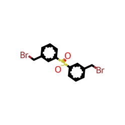 O=S(=O)(c1cccc(CBr)c1)c1cccc(CBr)c1